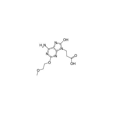 COCCOc1nc(N)c2nc(O)n(CCC(=O)O)c2n1